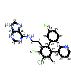 Cc1c(Cl)c(F)c(CCNc2ncnc3[nH]cnc23)c(-c2cccc(F)c2)c1-c1cccnc1